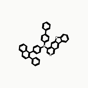 c1ccc(-c2ccc(N(c3ccc(-c4c(-c5ccccc5)ccc5ccccc45)cc3)c3cncc4cc5c(cc34)oc3ccccc35)cc2)cc1